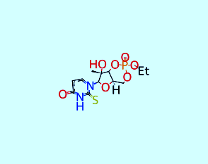 CCOP1(=O)OC[C@H]2O[C@@H](n3ccc(=O)[nH]c3=S)[C@](C)(O)C2O1